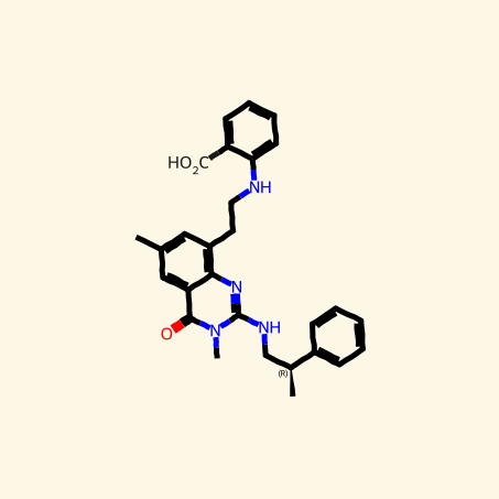 Cc1cc(CCNc2ccccc2C(=O)O)c2nc(NC[C@H](C)c3ccccc3)n(C)c(=O)c2c1